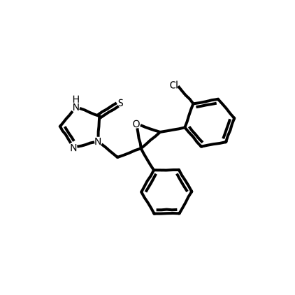 S=c1[nH]cnn1CC1(c2ccccc2)OC1c1ccccc1Cl